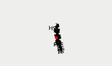 CCC[SiH]1CCC(c2ccc(-c3cc(F)c(OCC(F)(F)C(F)F)c(F)c3)cc2)CC1